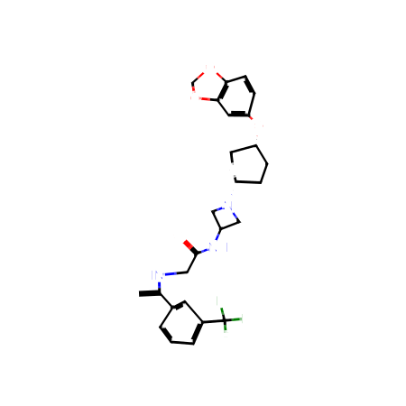 C=C(NCC(=O)NC1CN([C@H]2CC[C@@H](Oc3ccc4c(c3)OCO4)CC2)C1)c1cccc(C(F)(F)F)c1